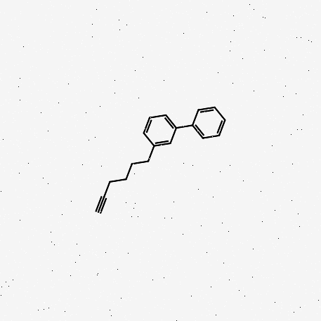 C#CCCCCc1cccc(-c2ccccc2)c1